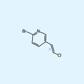 Cl/C=C/c1ccc(Br)nc1